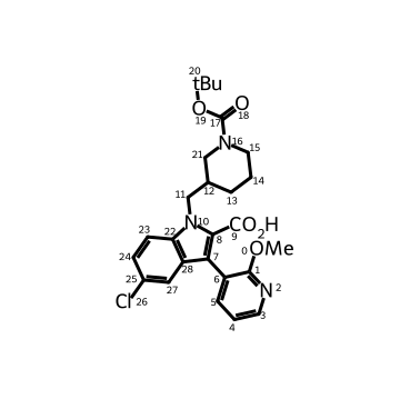 COc1ncccc1-c1c(C(=O)O)n(CC2CCCN(C(=O)OC(C)(C)C)C2)c2ccc(Cl)cc12